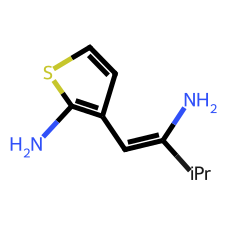 CC(C)/C(N)=C/c1ccsc1N